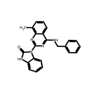 Cc1cccc2c(NCc3ccccc3)nc(-n3c(=O)[nH]c4ccccc43)nc12